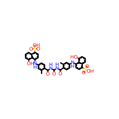 Cc1cc(Nc2ccc(S(=O)(=O)O)c3cccc(O)c23)ccc1C(=O)NC(=O)NC(=O)c1ccc(Nc2ccc(S(=O)(=O)O)c3cccc(O)c23)cc1C